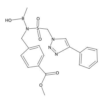 COC(=O)c1ccc(CN(B(C)O)S(=O)(=O)Cn2cc(-c3ccccc3)nn2)cc1